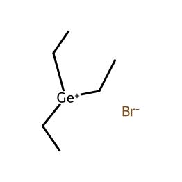 C[CH2][Ge+]([CH2]C)[CH2]C.[Br-]